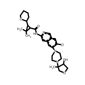 CC1(C)C(C(=O)Nc2cc3cc(N4CCN(C5(C)COCC5O)CC4)c(Cl)cc3cn2)C1C1CCCCO1